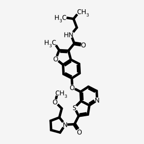 COCC1CCCN1C(=O)c1cc2nccc(Oc3ccc4c(C(=O)NCC(C)C)c(C)oc4c3)c2s1